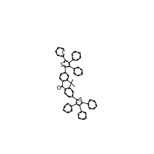 CC1(C)c2cc(-c3sc(-c4ccccc4)c(-c4ccccc4)c3-c3ccccc3)ccc2C(=O)c2ccc(-c3sc(-c4ccccc4)c(-c4ccccc4)c3-c3ccccc3)cc21